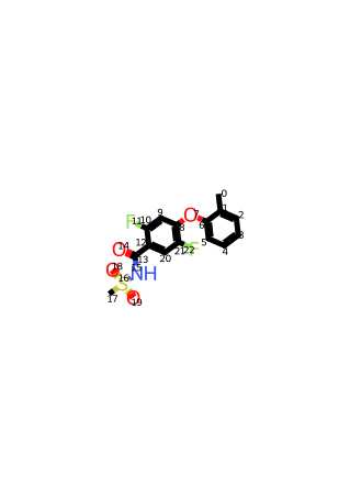 Cc1ccccc1Oc1cc(F)c(C(=O)NS(C)(=O)=O)cc1F